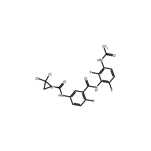 O=C(Nc1c(F)ccc(NC(=O)C(F)(F)F)c1F)c1cc(NC(=O)[C@H]2CC2(Cl)Cl)ccc1F